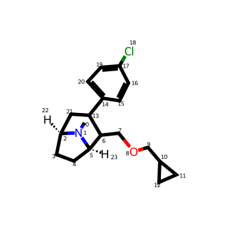 CN1[C@H]2CC[C@@H]1C(COCC1CC1)C(c1ccc(Cl)cc1)C2